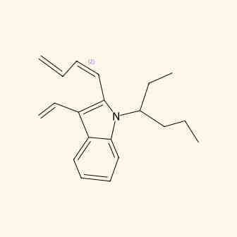 C=C/C=C\c1c(C=C)c2ccccc2n1C(CC)CCC